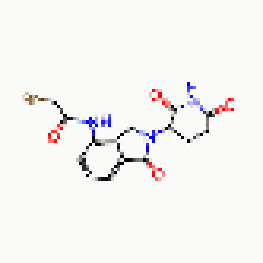 O=C1CCC(N2Cc3c(NC(=O)CBr)cccc3C2=O)C(=O)N1